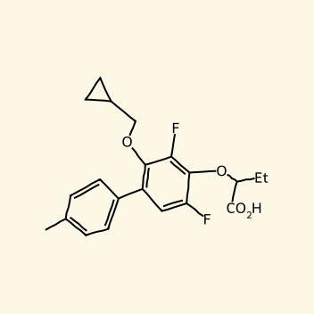 CCC(Oc1c(F)cc(-c2ccc(C)cc2)c(OCC2CC2)c1F)C(=O)O